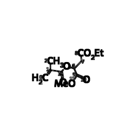 C=C(C)C(=O)OC(CC(=O)OCC)C(=O)OC